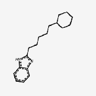 c1ccc2[nH]c(CCCCCC3CCCCC3)nc2c1